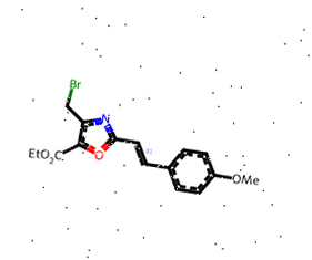 CCOC(=O)c1oc(/C=C/c2ccc(OC)cc2)nc1CBr